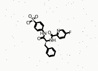 O=C(N[C@@H](Cc1ccccc1)C(=O)Nc1ccc(S(=O)(=O)Cl)cc1)c1ccc(F)cn1